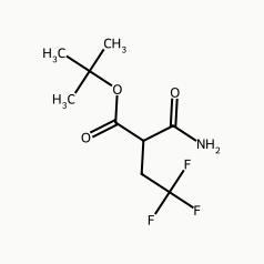 CC(C)(C)OC(=O)C(CC(F)(F)F)C(N)=O